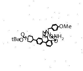 COc1ccc(Cn2nnc(-c3c(-c4ccc(C5CCN(C(=O)OC(C)(C)C)CC5)cc4)cccc3S(N)(=O)=O)n2)cc1